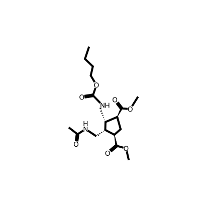 CCCCOC(=O)NC[C@H]1[C@@H](CNC(C)=O)[C@H](C(=O)OC)C[C@@H]1C(=O)OC